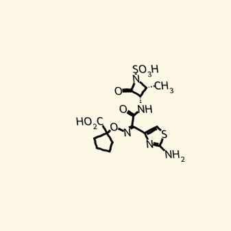 C[C@@H]1[C@H](NC(=O)/C(=N\OC2(C(=O)O)CCCC2)c2csc(N)n2)C(=O)N1S(=O)(=O)O